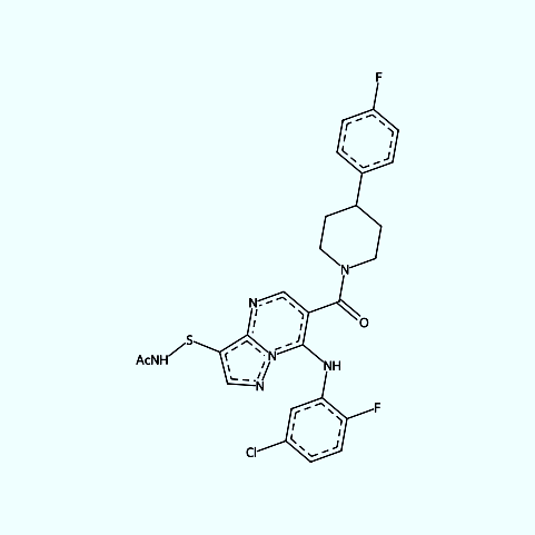 CC(=O)NSc1cnn2c(Nc3cc(Cl)ccc3F)c(C(=O)N3CCC(c4ccc(F)cc4)CC3)cnc12